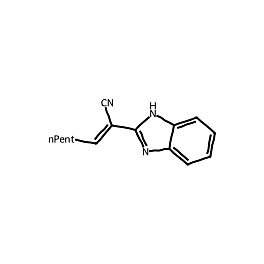 CCCCCC=C(C#N)c1nc2ccccc2[nH]1